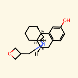 Oc1ccc2c(c1)[C@@]13CCCC[C@H]1[C@@H](C2)N(CC1COC1)CC3